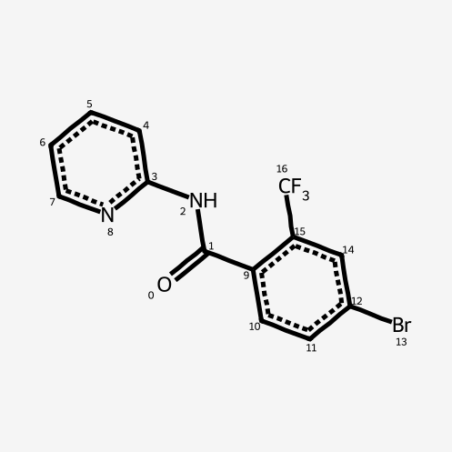 O=C(Nc1ccccn1)c1ccc(Br)cc1C(F)(F)F